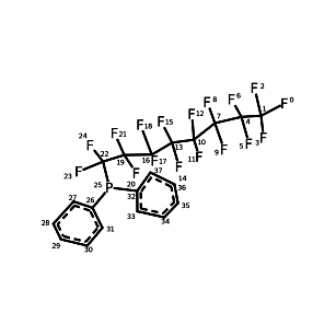 FC(F)(F)C(F)(F)C(F)(F)C(F)(F)C(F)(F)C(F)(F)C(F)(F)C(F)(F)P(c1ccccc1)c1ccccc1